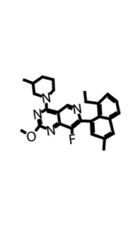 CCc1cccc2cc(C)cc(-c3ncc4c(N5CCCC(C)C5)nc(OC)nc4c3F)c12